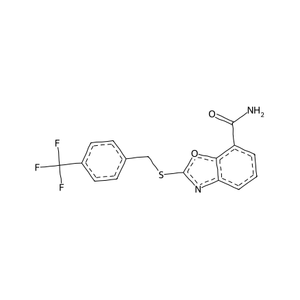 NC(=O)c1cccc2nc(SCc3ccc(C(F)(F)F)cc3)oc12